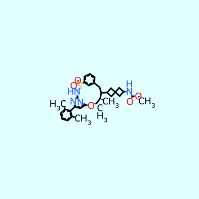 COC(=O)NC1CC2(C1)CC(C1Cc3cccc(c3)S(=O)(=O)Nc3nc(cc(-c4c(C)cccc4C)n3)O[C@@H](C)[C@H]1C)C2